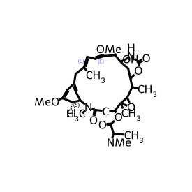 CNC(C)C(=O)OC1CC(=O)N(C)C2C=C(C=C(OC)[C@H]2Cl)C/C(C)=C/C=C/C(OC)C2(O)CC(OC(=O)N2)C(C)C2OC12C